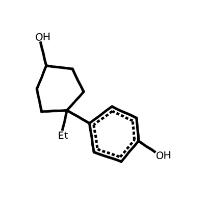 CCC1(c2ccc(O)cc2)CCC(O)CC1